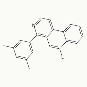 Cc1cc(C)cc(-c2nccc3c2cc(F)c2ccccc23)c1